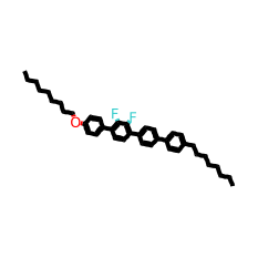 CCCCCCCCCOc1ccc(-c2ccc(-c3ccc(-c4ccc(CCCCCCCC)cc4)cc3)c(F)c2F)cc1